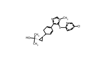 Cn1cnc(C2=CCC([C@H]3C[C@@H]3C(C)(C)O)C=C2)c1Sc1ccc(Cl)cn1